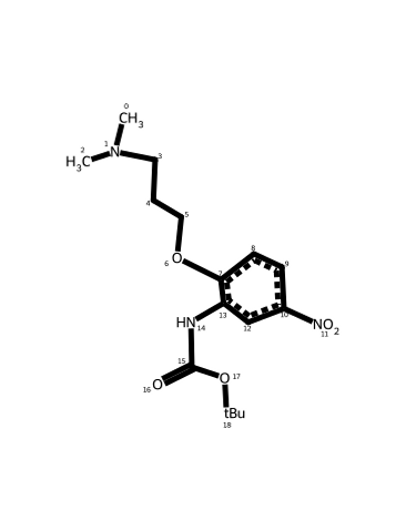 CN(C)CCCOc1ccc([N+](=O)[O-])cc1NC(=O)OC(C)(C)C